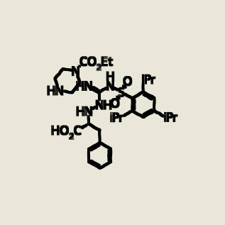 CC(C)c1cc(C(C)C)c(S(=O)(=O)NC(=N)NN[C@@H](Cc2ccccc2)C(=O)O)c(C(C)C)c1.CCOC(=O)N1CCNCC1